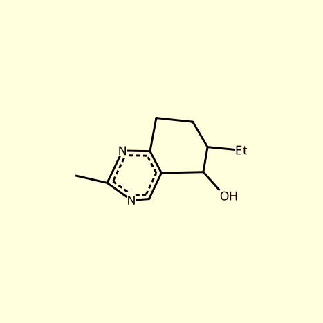 CCC1CCc2nc(C)ncc2C1O